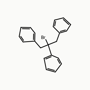 BrC(Cc1ccccc1)(Cc1ccccc1)c1ccccc1